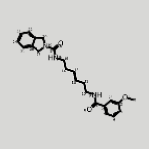 COc1cccc(C(=O)NCCCCCCNC(=O)N2Cc3ccccc3C2)c1